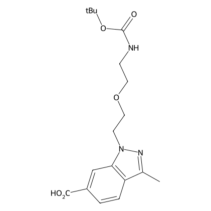 Cc1nn(CCOCCNC(=O)OC(C)(C)C)c2cc(C(=O)O)ccc12